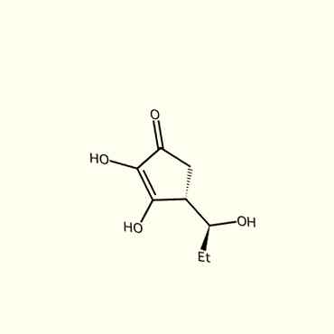 CC[C@H](O)[C@H]1CC(=O)C(O)=C1O